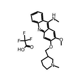 CNc1c2ccccc2nc2cc(OCC3CCCN(C)C3)c(OC)cc12.O=C(O)C(F)(F)F